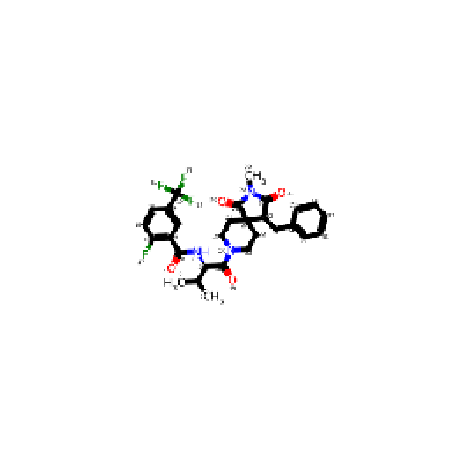 CC(C)[C@@H](NC(=O)c1cc(C(F)(F)F)ccc1F)C(=O)N1CCC2(CC1)C(=O)N(C)C(=O)C2Cc1ccccc1